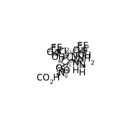 CN(CC(=O)O)S(=O)(=O)c1ccc2c(Cl)cnc(NC(=N)N)c2c1.O=C(O)C(F)(F)F.O=C(O)C(F)(F)F